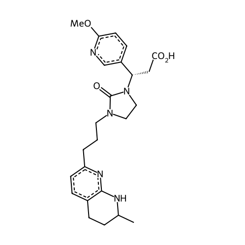 COc1ccc([C@H](CC(=O)O)N2CCN(CCCc3ccc4c(n3)NC(C)CC4)C2=O)cn1